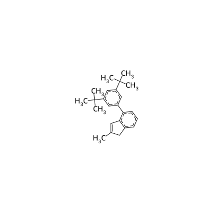 CC1=Cc2c(cccc2-c2cc(C(C)(C)C)cc(C(C)(C)C)c2)C1